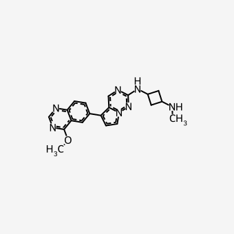 CNC1CC(Nc2ncc3c(-c4ccc5ncnc(OC)c5c4)ccn3n2)C1